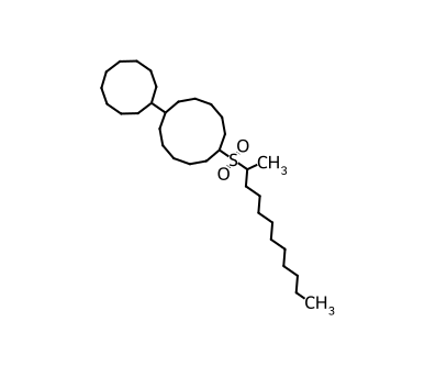 CCCCCCCCCCC(C)S(=O)(=O)C1CCCCCC(C2CCCCCCCCC2)CCCCC1